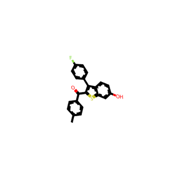 Cc1ccc(C(=O)c2sc3cc(O)ccc3c2-c2ccc(F)cc2)cc1